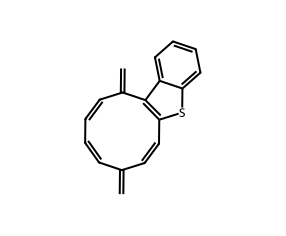 C=c1ccccc(=C)c2c(cc1)sc1ccccc12